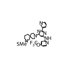 CSN1CCCC2(CCN(c3cc(Nc4cc(OC(F)(F)F)ccn4)nc(-c4cccnc4)n3)CC2)C1